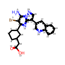 Nc1c(Br)c(C2CCCC(CC(=O)O)C2)nc2c(-c3cnc4ccccc4c3)cnn12